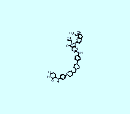 C=CCn1c(=O)c2cnc(Nc3ccc(N4CCN(CC5CCN(c6ccc(NC7CCC(=O)NC7=O)cc6)CC5)CC4)cc3)nc2n1-c1ccc2c(n1)[C@@](O)(CC)CC2